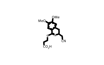 COc1cc2c(cc1OC)C(SCCC(=O)O)=NC(CC#N)C2